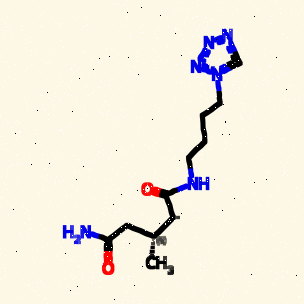 C[C@@H]([CH]C(=O)NCCCCn1cnnn1)CC(N)=O